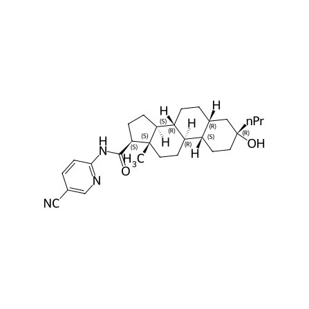 CCC[C@@]1(O)CC[C@H]2[C@H](CC[C@@H]3[C@@H]2CC[C@]2(C)[C@@H](C(=O)Nc4ccc(C#N)cn4)CC[C@@H]32)C1